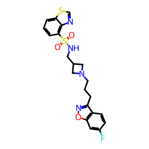 O=S(=O)(NCC1CN(CCCc2noc3cc(F)ccc23)C1)c1cccc2scnc12